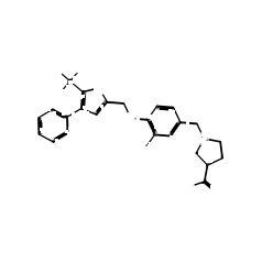 O=C(O)C1CCN(Cc2ccc(OCc3cc(-c4ccccc4)c(C(F)(F)F)s3)c(Cl)c2)C1